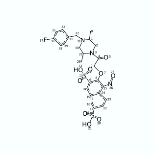 CC1CN(C(=O)COc2c(S(=O)(=O)O)cc3cc(S(=O)(=O)O)ccc3c2N=O)C(C)CN1Cc1ccc(F)cc1